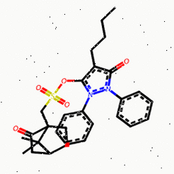 CCCCc1c(OS(=O)(=O)CC23CCC(CC2=O)C3(C)C)n(-c2ccccc2)n(-c2ccccc2)c1=O